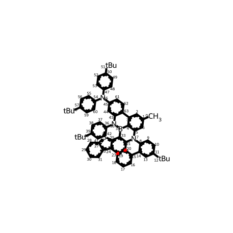 Cc1cc2c3c(c1)N(c1ccc(C(C)(C)C)cc1-c1ccccc1)c1ccc4c(sc5ccccc54)c1B3N(c1ccc(C(C)(C)C)cc1)c1cc(N(c3ccc(C(C)(C)C)cc3)c3ccc(C(C)(C)C)cc3)ccc1-2